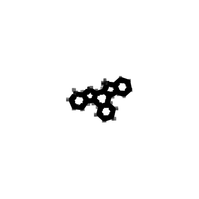 c1ccc2c(c1)[nH]c1c3sc4ncccc4c3c3ccccc3c21